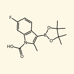 Cc1c(B2OC(C)(C)C(C)(C)O2)c2ccc(F)cc2n1C(=O)O